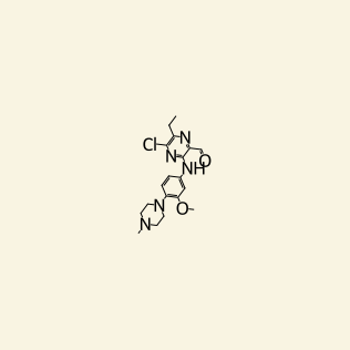 CCc1nc(C=O)c(Nc2ccc(N3CCN(C)CC3)c(OC)c2)nc1Cl